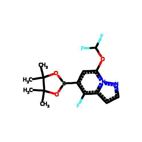 CC1(C)OB(c2cc(OC(F)F)n3nccc3c2F)OC1(C)C